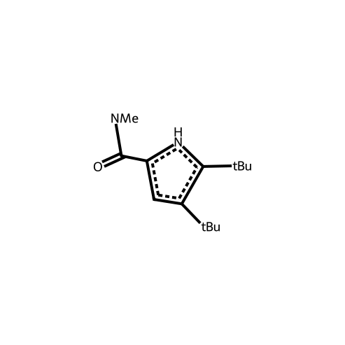 CNC(=O)c1cc(C(C)(C)C)c(C(C)(C)C)[nH]1